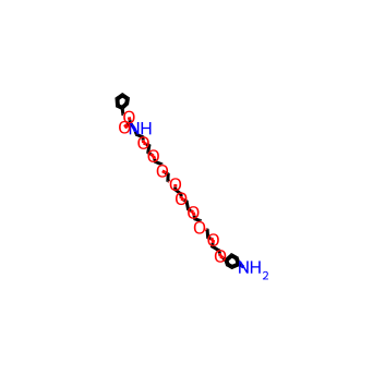 Nc1ccc(OCCOCCOCCOCCOCCOCCOCCOCCOCCNC(=O)OCc2ccccc2)cc1